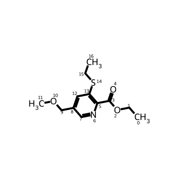 CCOC(=O)c1ncc(COC)cc1SCC